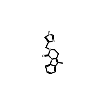 Cc1c2n(c3ccccc13)C(=O)N(Cc1c[nH]cn1)CC2